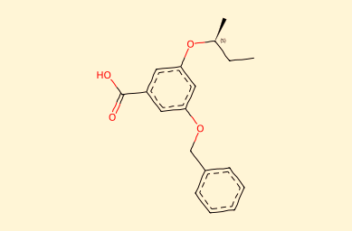 CC[C@H](C)Oc1cc(OCc2ccccc2)cc(C(=O)O)c1